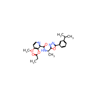 CCC(=O)Oc1c(OC)ccnc1C(=O)N[C@@H](C)c1nnc(-c2cccc(C(C)C)c2)o1